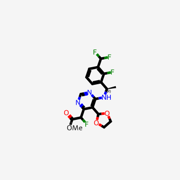 COC(=O)C(F)c1ncnc(N[C@H](C)c2cccc(C(F)F)c2F)c1C1OCCO1